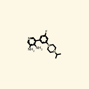 CC(C)N1CCN(c2cc(F)cc(-c3cncc(N)c3N)c2)CC1